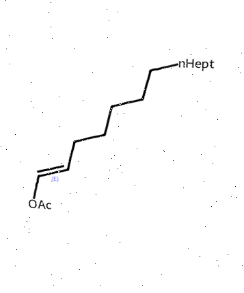 CCCCCCCCCCCC/C=C/OC(C)=O